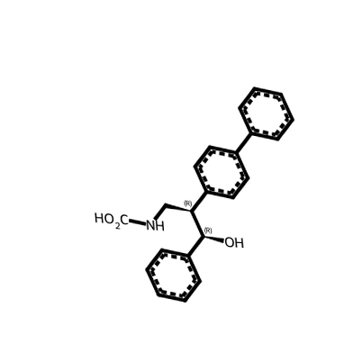 O=C(O)NC[C@@H](c1ccc(-c2ccccc2)cc1)[C@@H](O)c1ccccc1